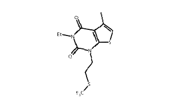 CCn1c(=O)c2c(C)csc2n(CCSC(F)(F)F)c1=O